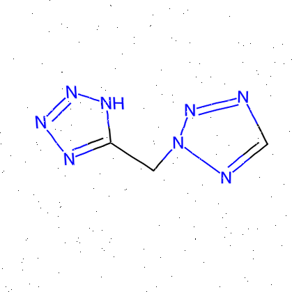 c1nnn(Cc2nnn[nH]2)n1